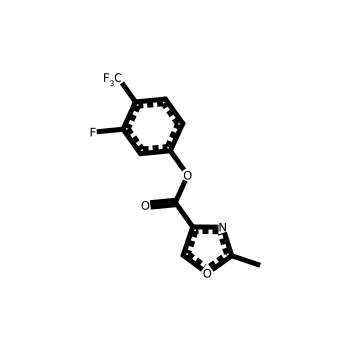 Cc1nc(C(=O)Oc2ccc(C(F)(F)F)c(F)c2)co1